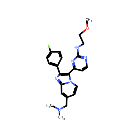 COCCNc1nccc(-c2c(-c3ccc(F)cc3)nc3cc(CN(C)C)ccn23)n1